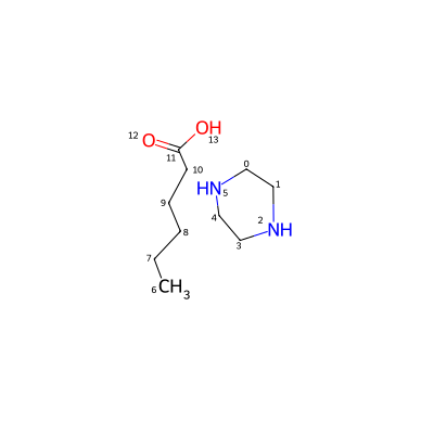 C1CNCCN1.CCCCCC(=O)O